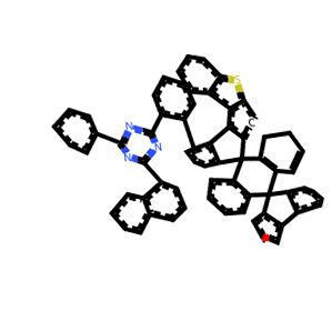 C1=CC2=C(CC1)C1(c3ccccc3C23c2ccccc2-c2ccccc23)c2cccc(-c3ccccc3-c3nc(-c4ccccc4)nc(-c4cccc5ccccc45)n3)c2-c2c1ccc1sc3ccccc3c21